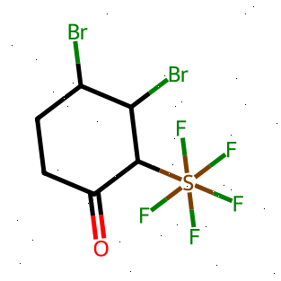 O=C1CCC(Br)C(Br)C1S(F)(F)(F)(F)F